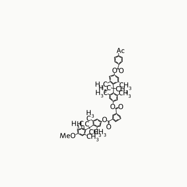 COc1cc(C)c(C(C)(C)c2c(C)cc(OC(=O)c3cccc(C(=O)Oc4cc(C)c(C(C)(C)c5c(C)cc(OC(=O)c6ccc(C(C)=O)cc6)cc5C)c(C)c4)c3)cc2C)c(C)c1